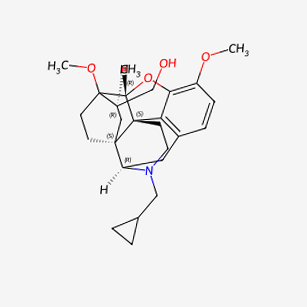 COc1ccc2c3c1O[C@H]1C4(OC)CC[C@@]5(C[C@]4(C)CO)[C@@H](C2)N(CC2CC2)CC[C@]315